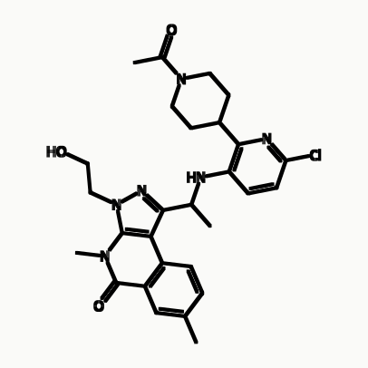 CC(=O)N1CCC(c2nc(Cl)ccc2NC(C)c2nn(CCO)c3c2c2ccc(C)cc2c(=O)n3C)CC1